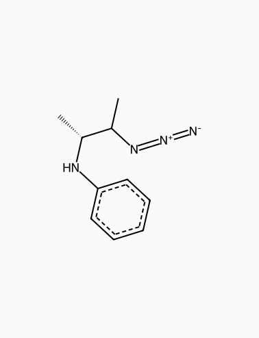 CC(N=[N+]=[N-])[C@@H](C)Nc1ccccc1